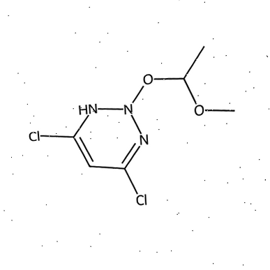 COC(C)ON1N=C(Cl)C=C(Cl)N1